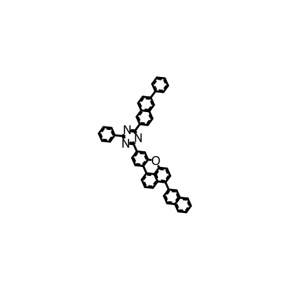 c1ccc(-c2ccc3cc(-c4nc(-c5ccccc5)nc(-c5ccc6c(c5)Oc5ccc(-c7ccc8ccccc8c7)c7cccc-6c57)n4)ccc3c2)cc1